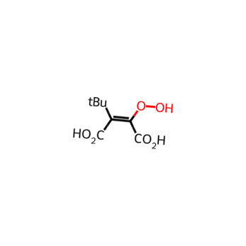 CC(C)(C)C(C(=O)O)=C(OO)C(=O)O